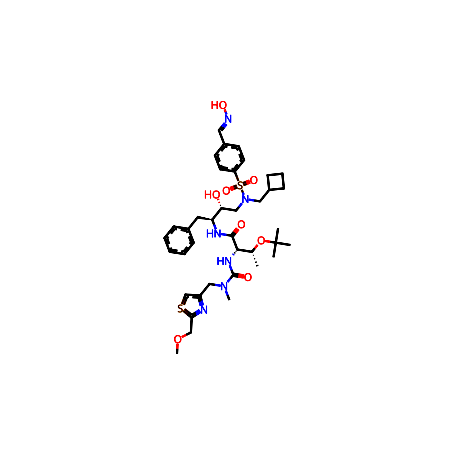 COCc1nc(CN(C)C(=O)N[C@H](C(=O)N[C@@H](Cc2ccccc2)[C@H](O)CN(CC2CCC2)S(=O)(=O)c2ccc(/C=N/O)cc2)[C@@H](C)OC(C)(C)C)cs1